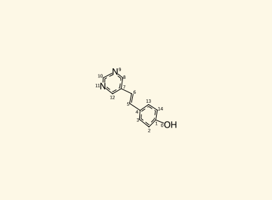 Oc1ccc(/C=C/c2cncnc2)cc1